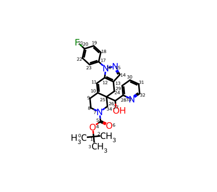 CC(C)(C)OC(=O)N1CCC2=Cc3c(cnn3-c3ccc(F)cc3)CC2(C(O)c2ccccn2)C1